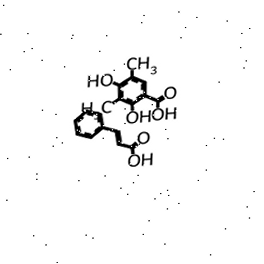 Cc1cc(C(=O)O)c(O)c(C)c1O.O=C(O)C=Cc1ccccc1